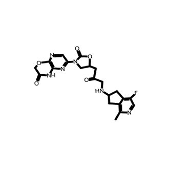 Cc1ncc(F)c2c1CC(NCC(=O)CC1CN(c3cnc4c(n3)NC(=O)CO4)C(=O)O1)C2